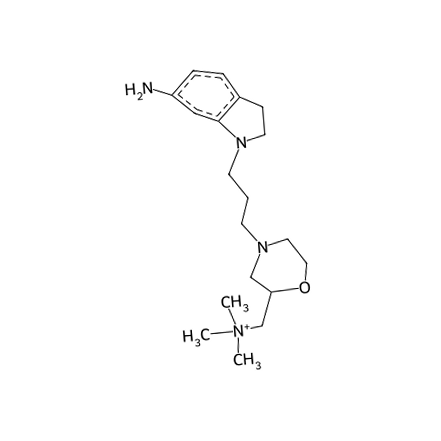 C[N+](C)(C)CC1CN(CCCN2CCc3ccc(N)cc32)CCO1